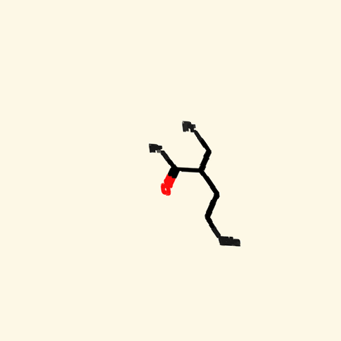 CSCCC(CC(C)C)C(=O)C(C)C